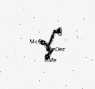 CCCCCCCCCCCCC(OCc1ccc(OC)cc1)C1CC[C@H]([C@@H](CCCCCCCCCCC(C)CC2=CC(C)OC2=O)OCc2ccc(OC)cc2)O1